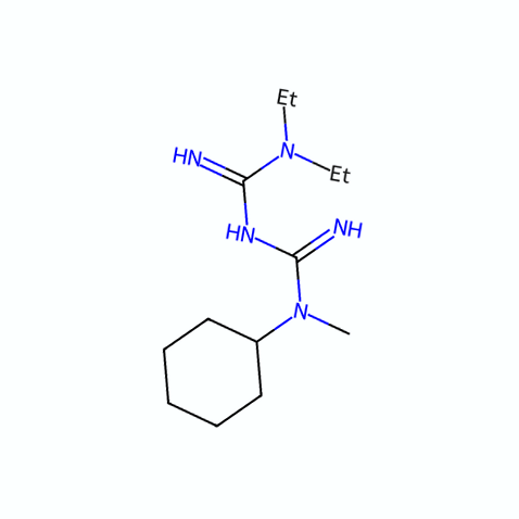 CCN(CC)C(=N)NC(=N)N(C)C1CCCCC1